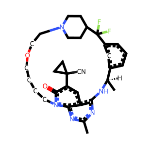 Cc1nc2c3cc(C4(C#N)CC4)c(=O)n(c3n1)CCCCOCCN1CCC(CC1)C(F)(F)c1cccc(c1)[C@@H](C)N2